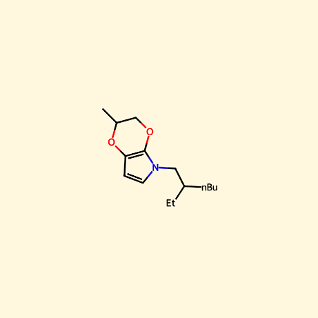 CCCCC(CC)Cn1ccc2c1OCC(C)O2